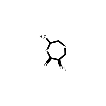 C=C1CSCC(C)OC1=O